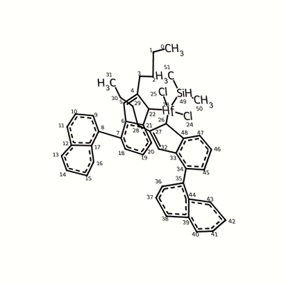 CCCCC1=Cc2c(-c3cccc4ccccc34)cccc2[CH]1[Hf]([Cl])([Cl])([CH]1C(CCCC)=Cc2c(-c3cccc4ccccc34)cccc21)[SiH](C)C